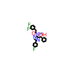 O=C(Cc1ccc(F)c(F)c1)Nc1ncc(-c2ccc(F)cc2)nc1C(O)c1ccccc1